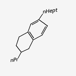 CCCCCCCc1ccc2c(c1)CCC(CCC)C2